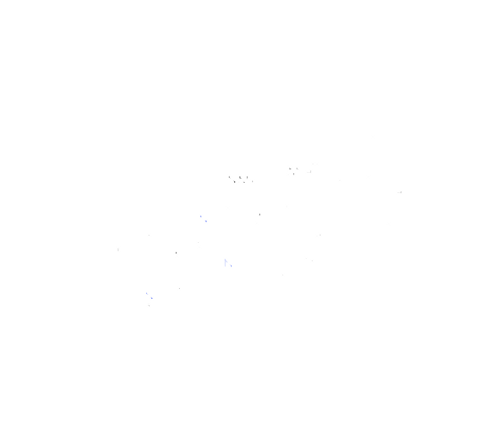 CNc1nc(-c2cccnc2)nc2ccc(-c3cccc(F)c3OC)cc12